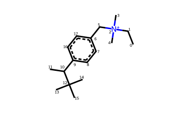 CC[N+](C)(C)Cc1ccc(C(C)C(C)(C)C)cc1